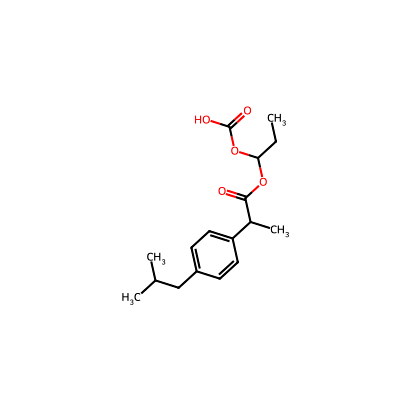 CCC(OC(=O)O)OC(=O)C(C)c1ccc(CC(C)C)cc1